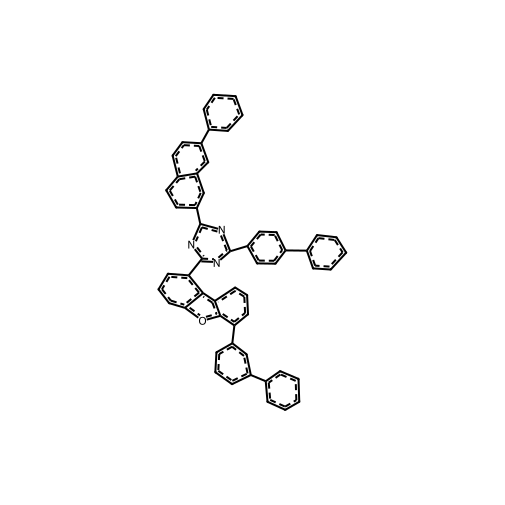 c1ccc(-c2ccc(-c3nc(-c4ccc5ccc(-c6ccccc6)cc5c4)nc(-c4cccc5oc6c(-c7cccc(-c8ccccc8)c7)cccc6c45)n3)cc2)cc1